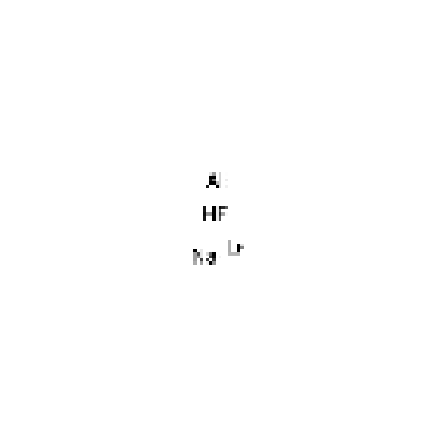 F.[Al].[Li].[Na]